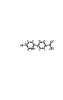 CCC(=O)c1ccc(-c2ccc(F)cn2)cc1